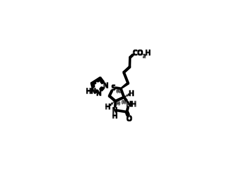 O=C(O)CCCC[C@@H]1SC[C@@H]2NC(=O)N[C@@H]21.c1c[nH]nn1